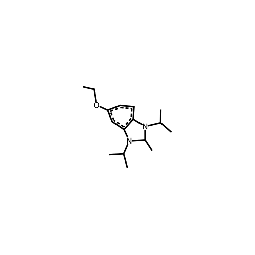 CCOc1ccc2c(c1)N(C(C)C)C(C)N2C(C)C